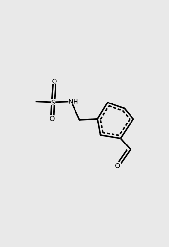 CS(=O)(=O)NCc1cccc(C=O)c1